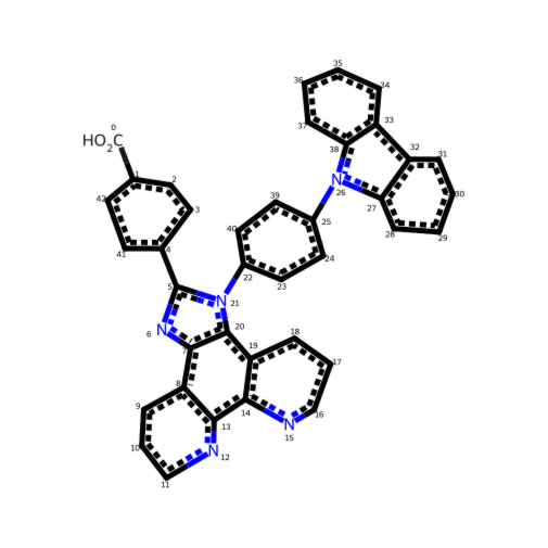 O=C(O)c1ccc(-c2nc3c4cccnc4c4ncccc4c3n2-c2ccc(-n3c4ccccc4c4ccccc43)cc2)cc1